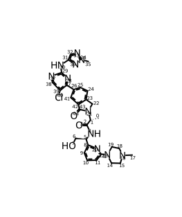 C[C@H](C(=O)N[C@H](CO)c1cccc(N2CCN(C)CC2)n1)N1Cc2ccc(-c3nc(Nc4cnn(C)n4)ncc3Cl)cc2C1=O